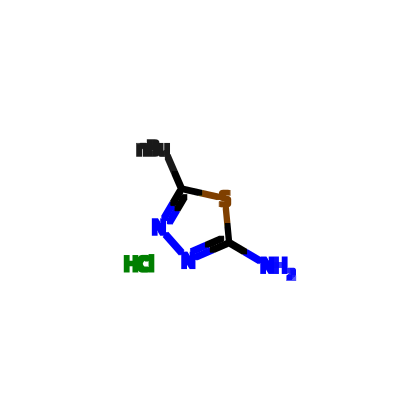 CCCCc1nnc(N)s1.Cl